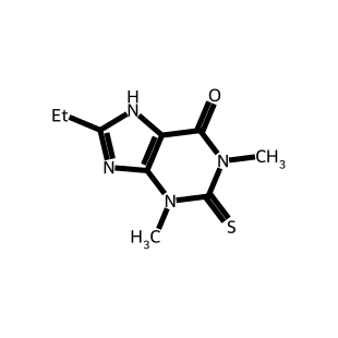 CCc1nc2c([nH]1)c(=O)n(C)c(=S)n2C